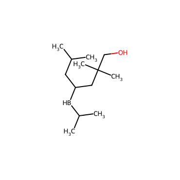 CC(C)BC(CC(C)C)CC(C)(C)CO